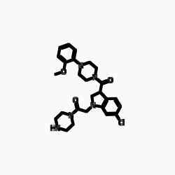 COc1ccccc1N1CCN(C(=O)C2CN(CC(=O)N3CCNCC3)c3cc(Cl)ccc32)CC1